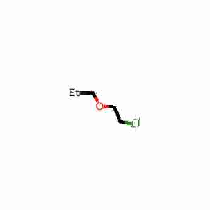 CC[CH]OCCCl